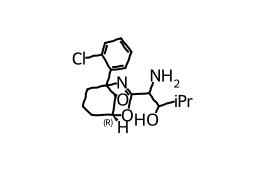 CC(C)C(O)C(N)C1=NC2(c3ccccc3Cl)CCC[C@@H](O1)C2=O